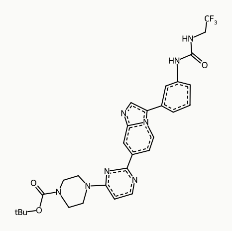 CC(C)(C)OC(=O)N1CCN(c2ccnc(-c3ccn4c(-c5cccc(NC(=O)NCC(F)(F)F)c5)cnc4c3)n2)CC1